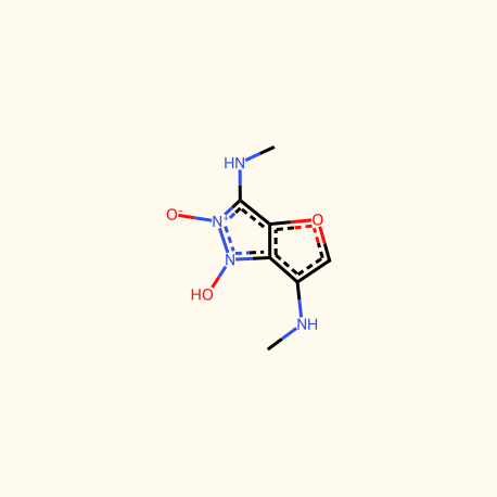 CNc1coc2c(NC)[n+]([O-])n(O)c12